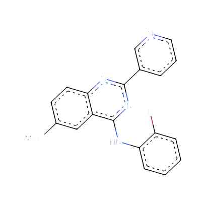 COc1ccc2nc(-c3cccnc3)nc(Nc3ccccc3Br)c2c1